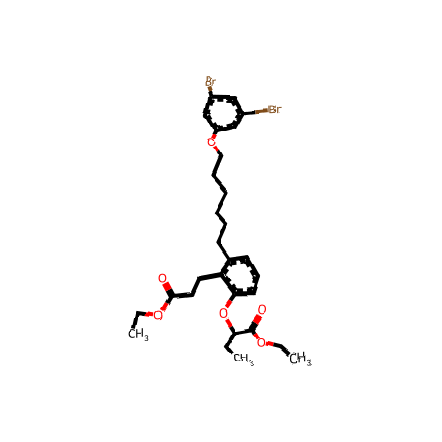 CCOC(=O)CCc1c(CCCCCCOc2cc(Br)cc(Br)c2)cccc1OC(CC)C(=O)OCC